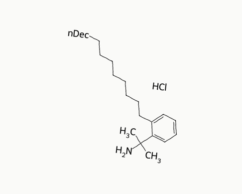 CCCCCCCCCCCCCCCCCCc1ccccc1C(C)(C)N.Cl